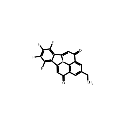 CCc1cc2c(=O)cc3c4c(F)c(F)c(F)c(F)c4c4cc(=O)c(c1)c2n34